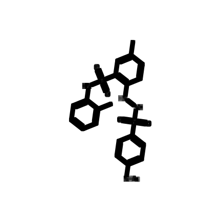 CC(=O)Nc1ccc(S(=O)(=O)NNc2ccc(C)cc2S(=O)(=O)Nc2ccccc2C)cc1